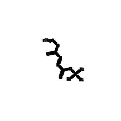 CCCCCCCOC(=O)N=NC(=O)O[Si](CC)(CC)CC